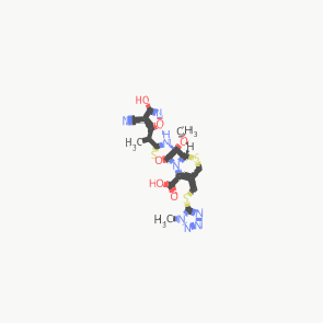 CO[C@@]1(NC(=S)C(C)c2onc(O)c2C#N)C(=O)N2C(C(=O)O)=C(CSc3nnnn3C)CS[C@H]21